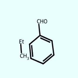 CCC.O=Cc1ccccc1